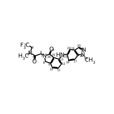 CN(CC(F)(F)F)C(=O)CN1Cc2cccc(Nc3ccc4c(cnn4C)c3)c2C1=O